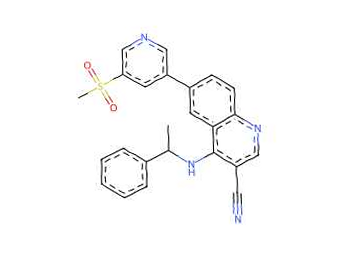 CC(Nc1c(C#N)cnc2ccc(-c3cncc(S(C)(=O)=O)c3)cc12)c1ccccc1